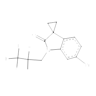 O=C1N(CC(F)(F)C(F)(F)F)c2cc(Br)ccc2C12CC2